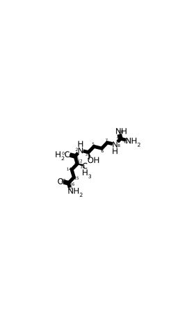 C=C(N[C@H](O)CCCNC(=N)N)[C@@H](C)CCC(N)=O